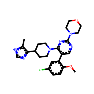 COc1ccc(Cl)cc1-c1cnc(N2CCOCC2)nc1N1CCC(c2nc[nH]c2C)CC1